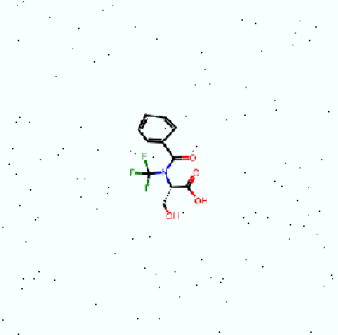 O=C(O)[C@H](CO)N(C(=O)c1ccccc1)C(F)(F)F